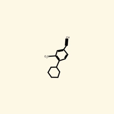 C#Cc1ccc(C2CCCCC2)c([N+](=O)[O-])c1